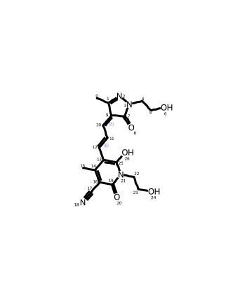 CC1=NN(CCO)C(=O)/C1=C\C=C\c1c(C)c(C#N)c(=O)n(CCO)c1O